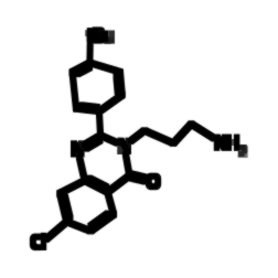 CC(C)(C)c1ccc(-c2nc3cc(Cl)ccc3c(=O)n2CCCN)cc1